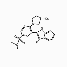 CN(C)S(=O)(=O)c1ccc(N2CC[C@H](O)C2)c(-c2[nH]c3ccccc3c2F)c1